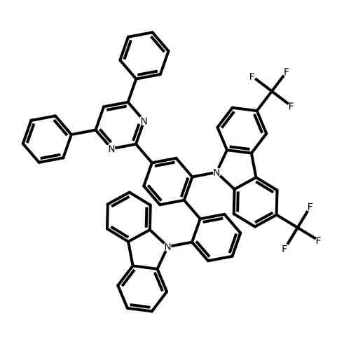 FC(F)(F)c1ccc2c(c1)c1cc(C(F)(F)F)ccc1n2-c1cc(-c2nc(-c3ccccc3)cc(-c3ccccc3)n2)ccc1-c1ccccc1-n1c2ccccc2c2ccccc21